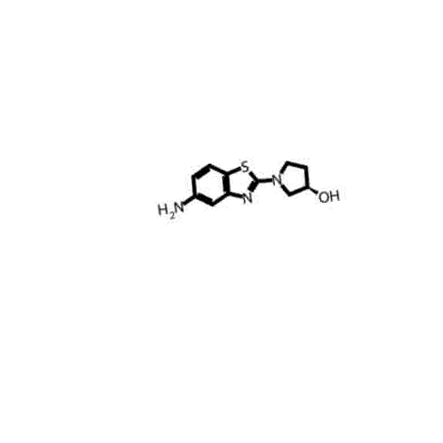 Nc1ccc2sc(N3CC[C@@H](O)C3)nc2c1